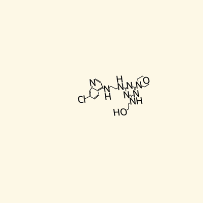 OCCNc1nc(NCCNc2ccnc3cc(Cl)ccc23)nc(N2CCOCC2)n1